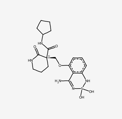 NC1=NS(O)(O)Nc2cccc(OC[C@@]3(C(=O)NC4CCCC4)CCCNC3=O)c21